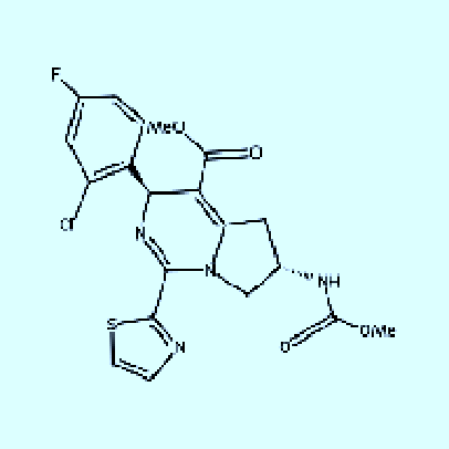 COC(=O)N[C@H]1CC2=C(C(=O)OC)[C@H](c3ccc(F)cc3Cl)N=C(c3nccs3)N2C1